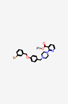 CC(C)OC(=O)c1cccnc1N1CCN(Cc2ccc(OCc3cccc(Br)c3)cc2)CC1